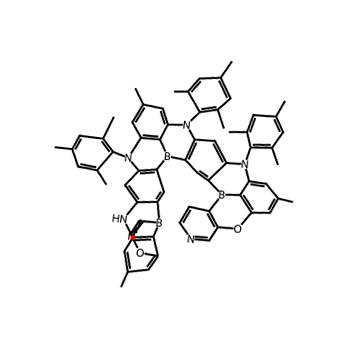 Cc1cc(C)c(N2c3cc4c(cc3B3c5ccncc5Oc5cc(C)cc2c53)B2c3cc5c(cc3N(c3c(C)cc(C)cc3C)c3cc(C)cc(c32)N4c2c(C)cc(C)cc2C)Nc2cc(C)cc3c2B5c2ccncc2O3)c(C)c1